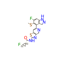 CSc1c(F)cc2[nH]ncc2c1-c1cc2sc(NC(=O)[C@@H]3C[C@@H]3F)nc2cn1